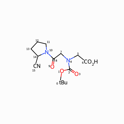 CC(C)(C)OC(=O)N(CC(=O)O)CC(=O)N1CCCC1C#N